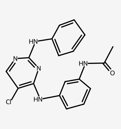 CC(=O)Nc1cccc(Nc2nc(Nc3ccccc3)ncc2Cl)c1